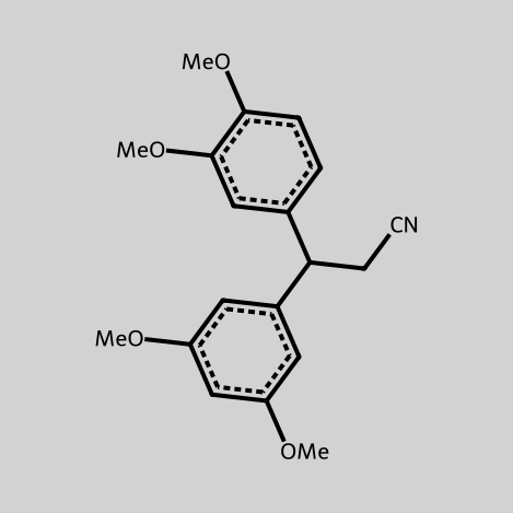 COc1cc(OC)cc(C(CC#N)c2ccc(OC)c(OC)c2)c1